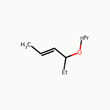 [CH2]CCOC(C=CC)CC